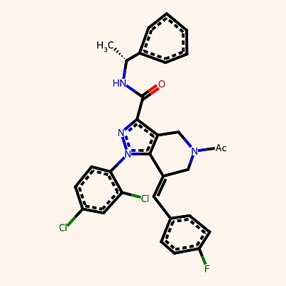 CC(=O)N1C/C(=C\c2ccc(F)cc2)c2c(c(C(=O)N[C@H](C)c3ccccc3)nn2-c2ccc(Cl)cc2Cl)C1